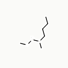 CCCCN(C)[SiH2]OC